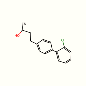 N#CC(O)CCc1ccc(-c2ccccc2Cl)cc1